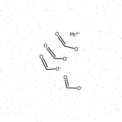 O=C[O-].O=C[O-].O=C[O-].O=C[O-].[Pb+4]